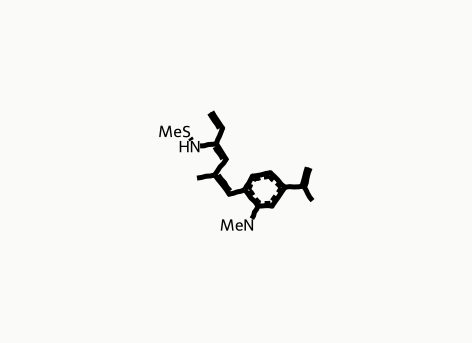 C=C/C(=C/C(C)=C\c1ccc(C(=C)C)cc1NC)NSC